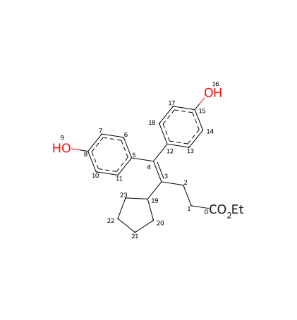 CCOC(=O)CCC(=C(c1ccc(O)cc1)c1ccc(O)cc1)C1CCCC1